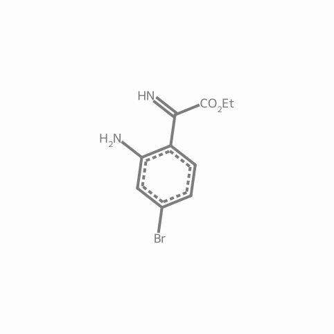 CCOC(=O)C(=N)c1ccc(Br)cc1N